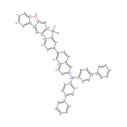 CC1(C)c2cc(-c3ccc4cc(N(c5ccc(-c6ccccc6)cc5)c5ccc(-c6ccccc6)cc5)ccc4c3)ccc2-c2cc3c(cc21)oc1ccccc13